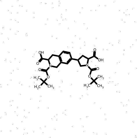 CC(C)(C)OC(=O)N1Cc2cc(C3CC(C(=O)O)N(C(=O)OC(C)(C)C)C3)ccc2CC1C(=O)O